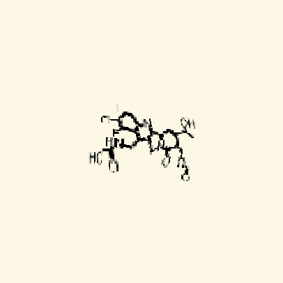 CC(O)c1cc2n(c(=O)c1COC=O)Cc1c-2nc2cc(F)c(Cl)c(F)c2c1CNC(=O)CO